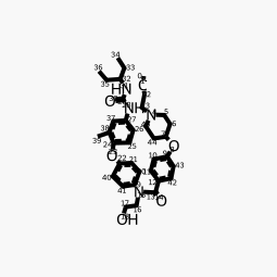 CCCCN1CCC(Oc2ccc(C(=O)N(CCO)c3ccc(Oc4ccc(NC(=O)NC(CC)CC)cc4C)cc3)cc2)CC1